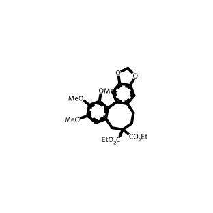 CCOC(=O)C1(C(=O)OCC)CCc2cc3c(cc2-c2c(cc(OC)c(OC)c2OC)C1)OCO3